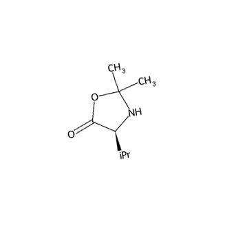 CC(C)[C@@H]1NC(C)(C)OC1=O